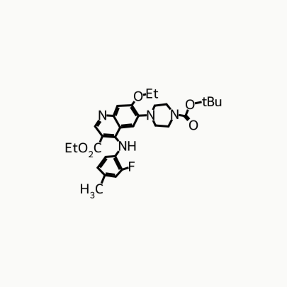 CCOC(=O)c1cnc2cc(OCC)c(N3CCN(C(=O)OC(C)(C)C)CC3)cc2c1Nc1ccc(C)cc1F